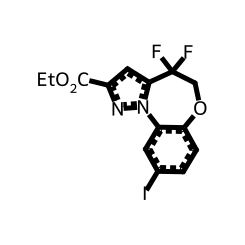 CCOC(=O)c1cc2n(n1)-c1cc(I)ccc1OCC2(F)F